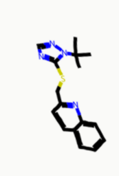 CC(C)(C)n1ncnc1SCc1ccc2ccccc2n1